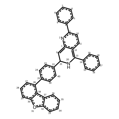 C1=c2nc(-c3ccccc3)ccc2=C(c2ccccc2)NC1c1ccc(-c2cccc3oc4ccccc4c23)cc1